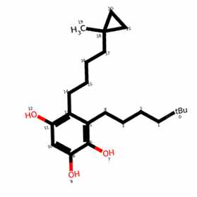 CC(C)(C)CCCCc1c(O)c(O)cc(O)c1CCCCC1(C)CC1